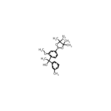 COc1cc(B2OC(C)(C)C(C)(C)O2)ccc1C(C)(O)c1cccc(C)c1